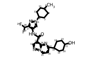 CC1CCC(n2cc(NC(=O)c3cnn4ccc(C5CCC(O)CC5)nc34)c(C(F)F)n2)CC1